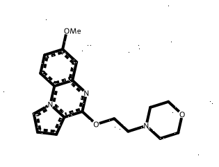 COc1ccc2c(c1)nc(OCCN1CCOCC1)c1cccn12